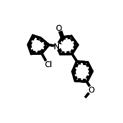 COc1ccc(-c2ccc(=O)n(-c3ccccc3Cl)c2)cc1